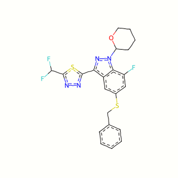 Fc1cc(SCc2ccccc2)cc2c(-c3nnc(C(F)F)s3)nn(C3CCCCO3)c12